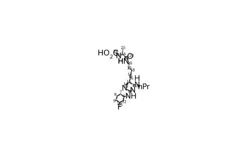 CCCNc1nc(Nc2cccc(F)c2)ncc1C#CCCCNC(=O)C(C)N(C)C(=O)O